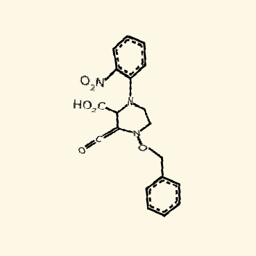 O=C=C1C(C(=O)O)N(c2ccccc2[N+](=O)[O-])CCN1OCc1ccccc1